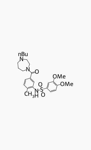 CCCCN1CCCN(C(=O)c2ccc(C)c(NS(=O)(=O)c3ccc(OC)c(OC)c3)c2)CC1